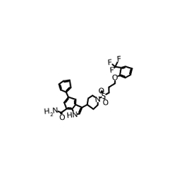 NC(=O)c1cc(-c2ccccc2)cc2c(C3CCN(S(=O)(=O)CCCOc4ccccc4C(F)(F)F)CC3)c[nH]c12